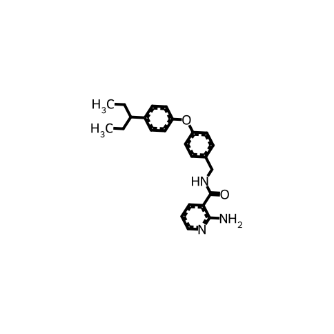 CCC(CC)c1ccc(Oc2ccc(CNC(=O)c3cccnc3N)cc2)cc1